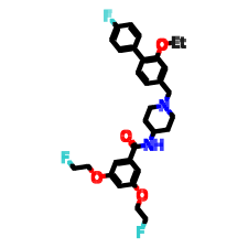 CCOc1cc(CN2CCC(NC(=O)c3cc(OCCF)cc(OCCF)c3)CC2)ccc1-c1ccc(F)cc1